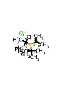 CC(C)P(C(C)(C)C)C(C)(C)C.[CH3][Pd+].[Cl-]